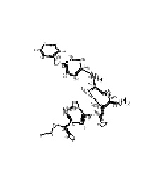 CCOC(=O)c1cc(C(=O)c2sc(Nc3ccc(Oc4ccccc4)cc3)nc2N)on1